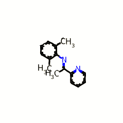 C/C(=N\c1c(C)cccc1C)c1ccccn1